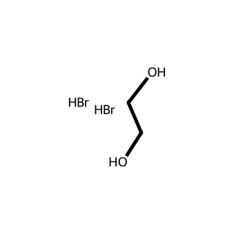 Br.Br.OCCO